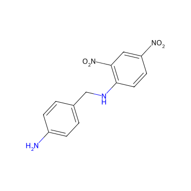 Nc1ccc(CNc2ccc([N+](=O)[O-])cc2[N+](=O)[O-])cc1